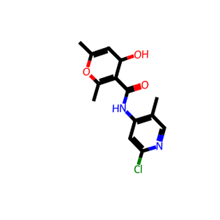 CC1=CC(O)C(C(=O)Nc2cc(Cl)ncc2C)=C(C)O1